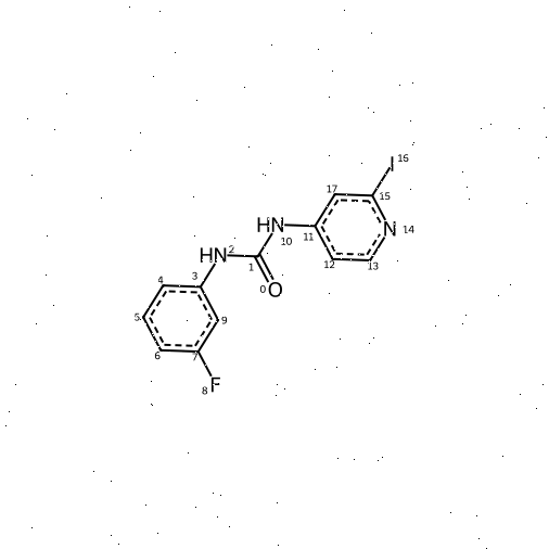 O=C(Nc1cccc(F)c1)Nc1ccnc(I)c1